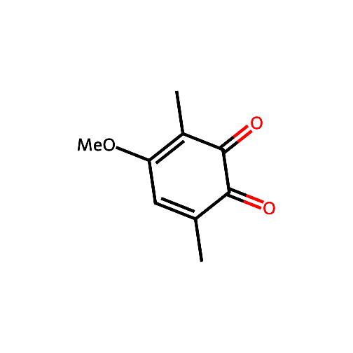 COC1=C(C)C(=O)C(=O)C(C)=C1